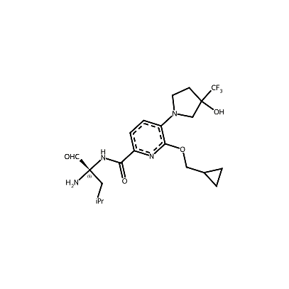 CC(C)C[C@@](N)(C=O)NC(=O)c1ccc(N2CCC(O)(C(F)(F)F)C2)c(OCC2CC2)n1